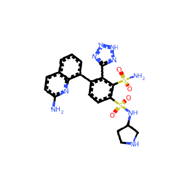 Nc1ccc2cccc(-c3ccc(S(=O)(=O)NC4CCNC4)c(S(N)(=O)=O)c3-c3nn[nH]n3)c2n1